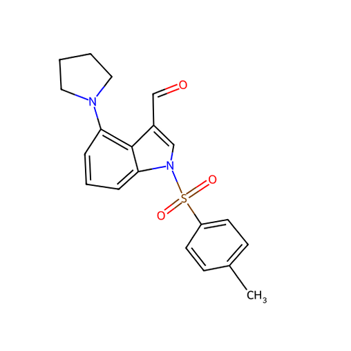 Cc1ccc(S(=O)(=O)n2cc(C=O)c3c(N4CCCC4)cccc32)cc1